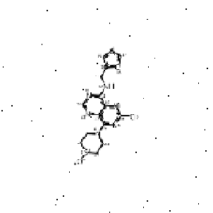 [O-][S+]1CCN(c2nc(Cl)nc3c(NCc4ccco4)ncnc23)CC1